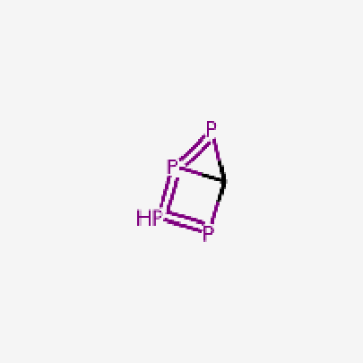 P1=[PH]=P2=PC12